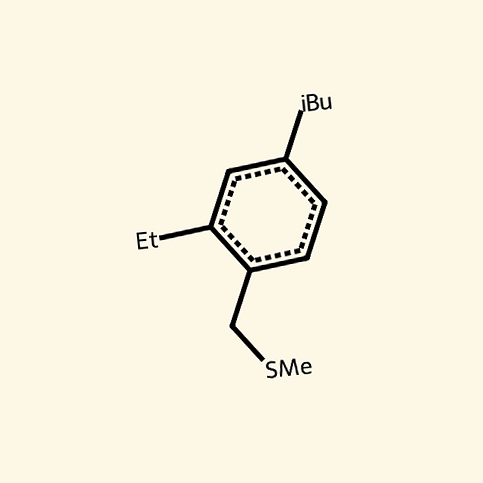 CCc1cc(C(C)CC)ccc1CSC